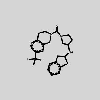 O=C(N1CCc2ncc(C(F)(F)F)cc2C1)N1CCC(NC2Cc3ccccc3C2)C1